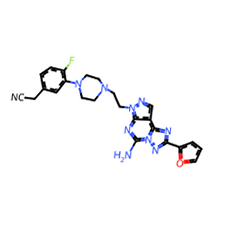 N#CCc1ccc(F)c(N2CCN(CCn3ncc4c3nc(N)n3nc(-c5ccco5)nc43)CC2)c1